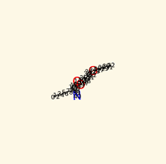 CCCCCCCCCc1ccc(C(=O)Oc2ccc(-c3ccc(OCCCCCCCC)cc3)cc2)cc1C#N